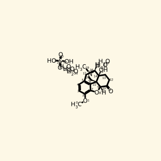 COc1ccc2c3c1O[C@H]1C(=O)CC[C@@]4(O)[C@@H](C2)N(C)CC[C@]314.O.O.O.O.O.O=S(=O)(O)O